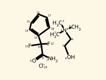 C[N+](C)(C)CCO.NC(=O)C(F)(F)c1ccccc1.[Cl-]